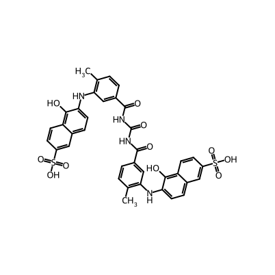 Cc1ccc(C(=O)NC(=O)NC(=O)c2ccc(C)c(Nc3ccc4cc(S(=O)(=O)O)ccc4c3O)c2)cc1Nc1ccc2cc(S(=O)(=O)O)ccc2c1O